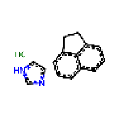 Cl.c1c[nH]cn1.c1cc2c3c(cccc3c1)CC2